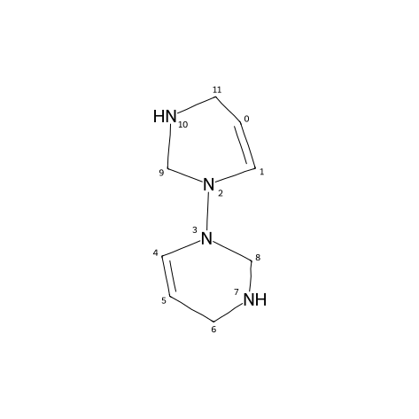 C1=CN(N2C=CCNC2)CNC1